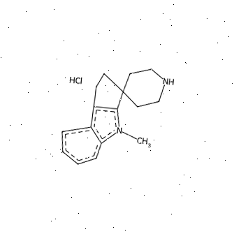 Cl.Cn1c2c(c3ccccc31)CCC21CCNCC1